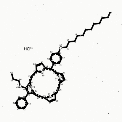 CCCCCCCCCCCCOc1ccc(-c2c3nc(cc4[nH]c(cc5nc(cc6ccc2[nH]6)C=C5)c(-c2ccccc2)c4OCCC)C=C3)cc1.Cl